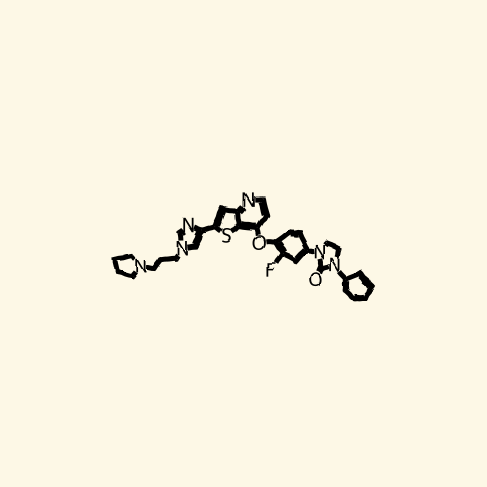 O=C1N(c2ccccc2)CCN1c1ccc(Oc2ccnc3cc(-c4cn(CCCN5CCCC5)cn4)sc23)c(F)c1